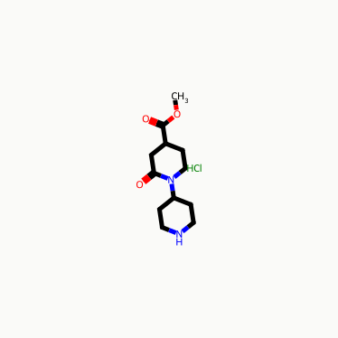 COC(=O)C1CCN(C2CCNCC2)C(=O)C1.Cl